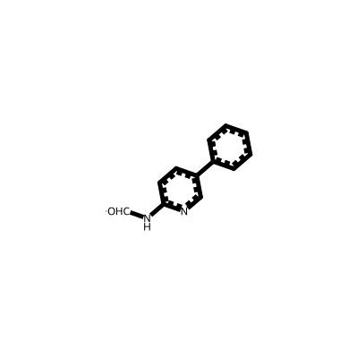 O=[C]Nc1ccc(-c2ccccc2)cn1